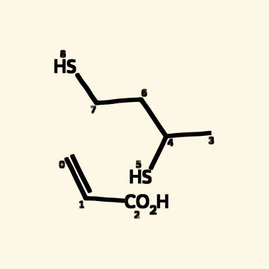 C=CC(=O)O.CC(S)CCS